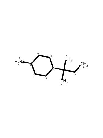 CCC(C)(C)[C@H]1CC[C@@H](N)CC1